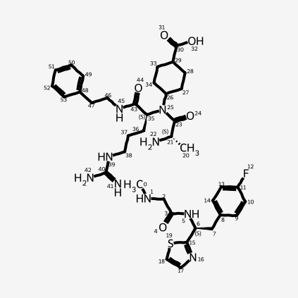 CNCC(=O)N[C@@H](Cc1ccc(F)cc1)c1nccs1.C[C@H](N)C(=O)N(C1CCC(C(=O)O)CC1)[C@@H](CCCNC(=N)N)C(=O)NCCc1ccccc1